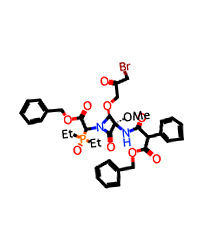 CCP(=O)(CC)C(C(=O)OCc1ccccc1)N1C(=O)[C@@](NC(=O)C(C(=O)OCc2ccccc2)c2ccccc2)(OC)[C@@H]1OCC(=O)CBr